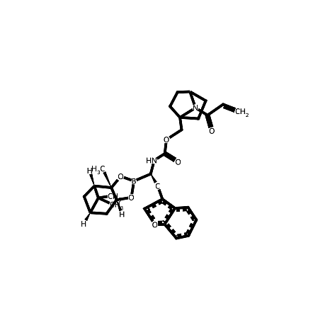 C=CC(=O)N1C2CCC1(COC(=O)N[C@@H](Cc1coc3ccccc13)B1O[C@@H]3C[C@@H]4C[C@@H](C4(C)C)[C@]3(C)O1)CC2